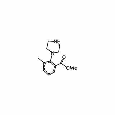 COC(=O)c1cccc(C)c1N1CCNCC1